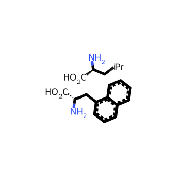 CC(C)C[C@H](N)C(=O)O.N[C@@H](Cc1cccc2ccccc12)C(=O)O